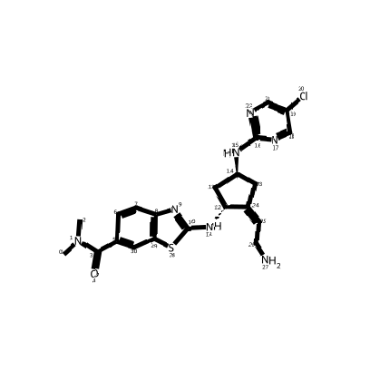 CN(C)C(=O)c1ccc2nc(N[C@@H]3C[C@@H](Nc4ncc(Cl)cn4)C/C3=C/CN)sc2c1